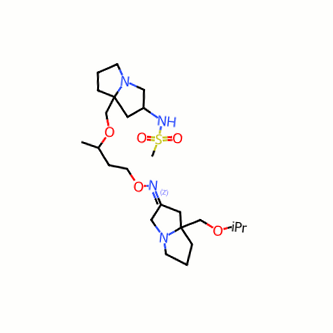 CC(C)OCC12CCCN1C/C(=N\OCCC(C)OCC13CCCN1CC(NS(C)(=O)=O)C3)C2